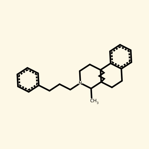 CC1N(CCCc2ccccc2)CCC23CCCC12CCc1ccccc13